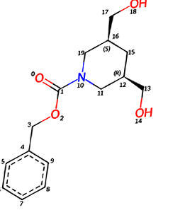 O=C(OCc1ccccc1)N1C[C@H](CO)C[C@H](CO)C1